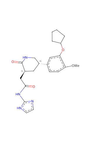 COc1ccc([C@H]2CNC(=O)[C@H](CC(=O)Nc3ncc[nH]3)C2)cc1OC1CCCC1